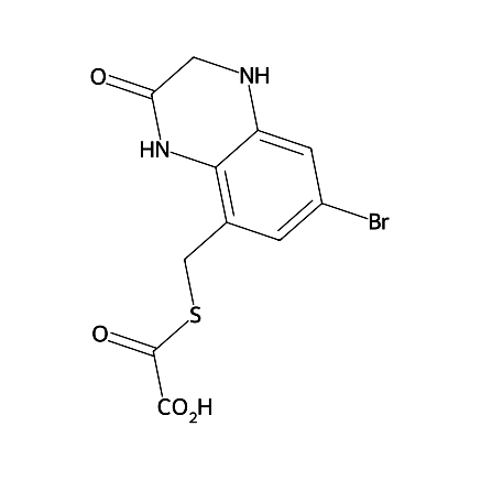 O=C1CNc2cc(Br)cc(CSC(=O)C(=O)O)c2N1